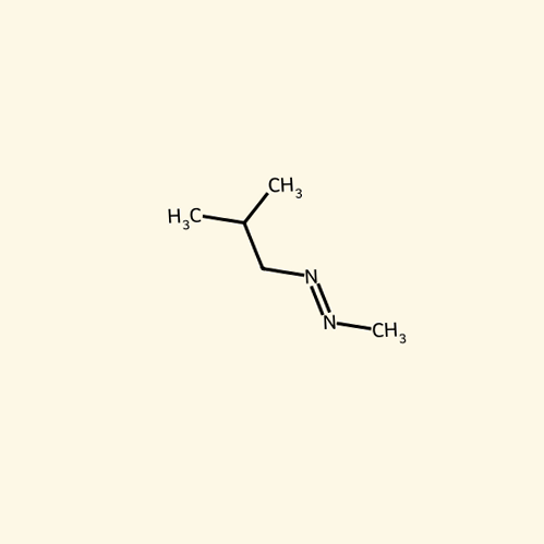 CN=NCC(C)C